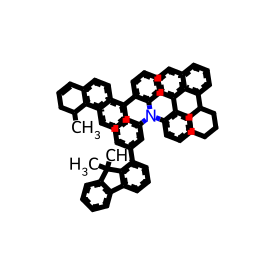 CC1CC=Cc2ccc3c(-c4ccccc4N(c4cccc(-c5cccc6c5C(C)(C)c5ccccc5-6)c4)c4ccccc4-c4cccc5cccc(C6CCCCC6)c45)cccc3c21